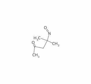 CC(=O)CC(C)(C)N=O